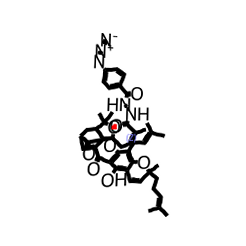 CC(C)=CCCC1(C)C=Cc2c(O)c3c(c(CC=C(C)C)c2O1)OC12C(=CC4CC1C(C)(C)OC2(C/C=C(/C)C(=O)NNC(=O)c1ccc(N=[N+]=[N-])cc1)C4=O)C3=O